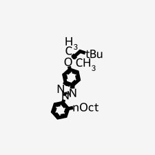 CCCCCCCCc1ccccc1-n1nc2ccc(OC(C)(C)CC(C)(C)C)cc2n1